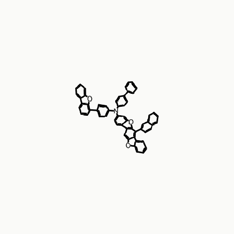 c1ccc(-c2ccc(N(c3ccc(-c4cccc5c4oc4ccccc45)cc3)c3ccc4c(c3)oc3c(-c5ccc6ccccc6c5)c5c(cc34)oc3ccccc35)cc2)cc1